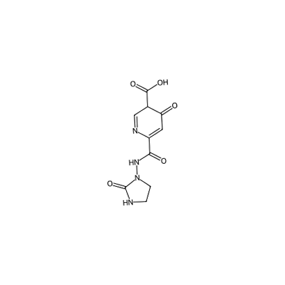 O=C(NN1CCNC1=O)C1=CC(=O)C(C(=O)O)C=N1